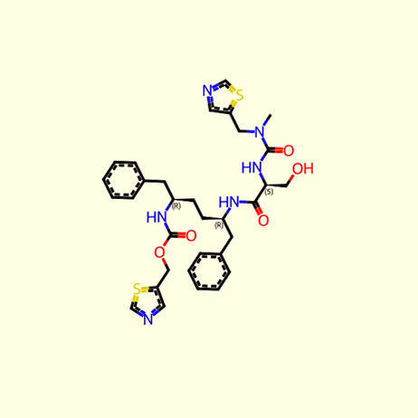 CN(Cc1cncs1)C(=O)N[C@@H](CO)C(=O)N[C@H](CC[C@H](Cc1ccccc1)NC(=O)OCc1cncs1)Cc1ccccc1